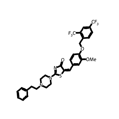 COc1cc(C=C2SC(N3CCN(CCc4ccccc4)CC3)=NC2=O)ccc1OCc1ccc(C(F)(F)F)cc1C(F)(F)F